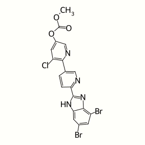 COC(=O)Oc1cnc(-c2ccc(-c3nc4c(Br)cc(Br)cc4[nH]3)nc2)c(Cl)c1